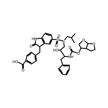 CC(C)CN(CC(O)C(Cc1ccccc1)NC(=O)OC1COC2OCCC12)S(=O)(=O)c1ccc2c(c1)C(Cc1ccc(C(=O)O)cc1)C(=O)N2